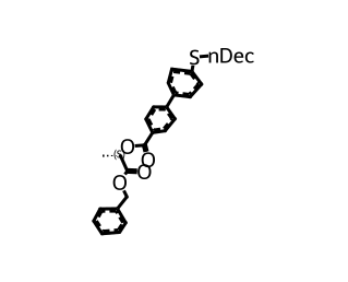 CCCCCCCCCCSc1ccc(-c2ccc(C(=O)O[C@@H](C)C(=O)OCc3ccccc3)cc2)cc1